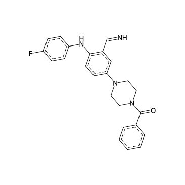 N=Cc1cc(N2CCN(C(=O)c3ccccc3)CC2)ccc1Nc1ccc(F)cc1